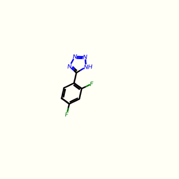 Fc1ccc(-c2nnn[nH]2)c(F)c1